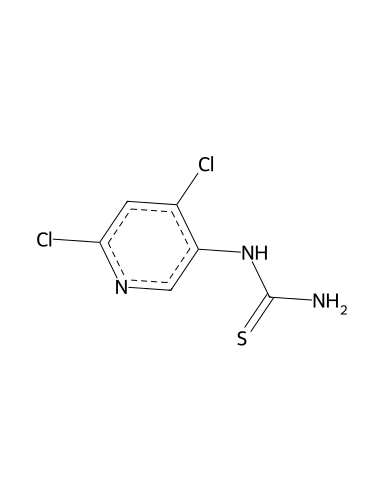 NC(=S)Nc1cnc(Cl)cc1Cl